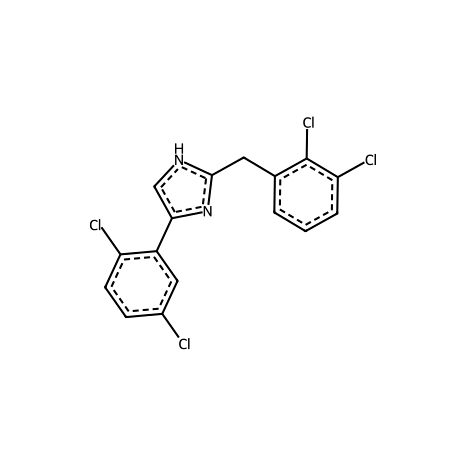 Clc1ccc(Cl)c(-c2c[nH]c(Cc3cccc(Cl)c3Cl)n2)c1